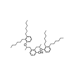 CCCCCCc1cccc(OC(C)Cc2cccc(O)c2CC(C)Oc2cccc(CCCCCC)c2CCCCCC)c1CCCCCC